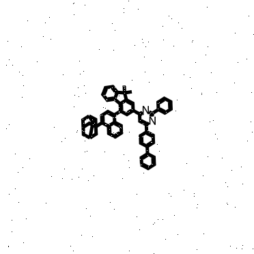 CC1(C)c2ccccc2-c2c(-c3ccc(C45CC6CC(CC(C6)C4)C5)c4ccccc34)cc(-c3cc(-c4ccc(-c5ccccc5)cc4)nc(-c4ccccc4)n3)cc21